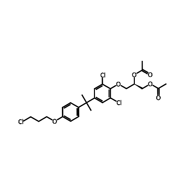 CC(=O)OC[C@@H](COc1c(Cl)cc(C(C)(C)c2ccc(OCCCCl)cc2)cc1Cl)OC(C)=O